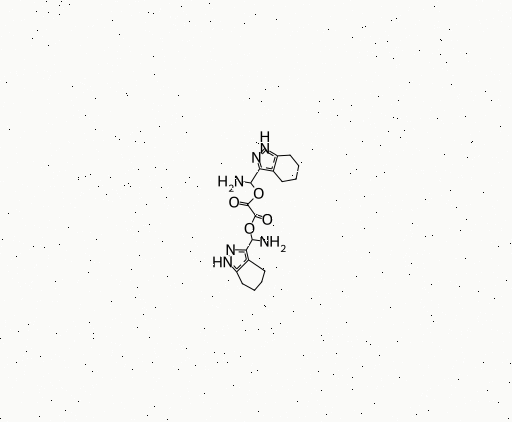 NC(OC(=O)C(=O)OC(N)c1n[nH]c2c1CCCC2)c1n[nH]c2c1CCCC2